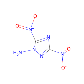 Nn1nc([N+](=O)[O-])nc1[N+](=O)[O-]